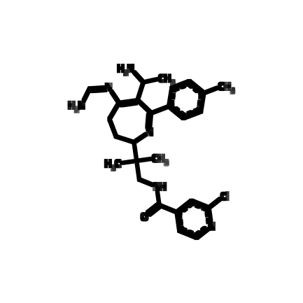 Cc1ccc(C2=NC(C(C)(C)CNC(=O)c3ccnc(Cl)c3)CCC(/N=C\N)=C2C(C)N)cc1